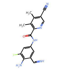 Cc1c(C#N)cnc(C(=O)Nc2cc(F)c(N)c(C=N)c2)c1C